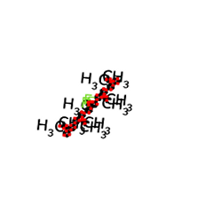 CCCC1(CCC)c2ccccc2-c2ccc(-c3ccc4c(c3)C(CCC)(CCC)c3cc(-c5ccc6c(c5)C(C)(C(F)(F)F)c5cc(-c7ccc8c(c7)C(CCC)(CCC)c7cc(-c9ccc%10c(c9)C(CCC)(CCC)c9ccccc9-%10)ccc7-8)ccc5-6)ccc3-4)cc21